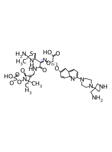 CC1(N)NC(/C(=N/O[C@@H](COc2ccc3nc(N4CCN(C5(CN)CNC5)CC4)ccc3c2)C(=O)O)C(=O)NC[C@@H]2C(=O)N(OS(=O)(=O)O)C2(C)C)=CS1